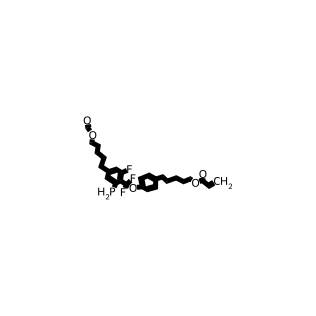 C=CC(=O)OCCCCCc1ccc(OC(F)(F)c2c(F)cc(CCCCCOC=O)cc2P)cc1